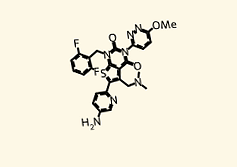 COc1ccc(-n2c(=O)c3c(CN(C)C)c(-c4ccc(N)cn4)sc3n(Cc3c(F)cccc3F)c2=O)nn1